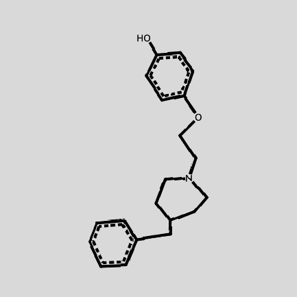 Oc1ccc(OCCN2CCC(Cc3ccccc3)CC2)cc1